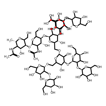 CC(=O)NC1[C@H](O[C@@H]2C(CO)O[C@@H](C)C(NC(C)=O)[C@H]2O)OC(CO)[C@@H](O[C@@H]2OC(CO[C@H]3OC(CO[C@H]4OC(CO)[C@@H](O)[C@H](O)C4O[C@H]4OC(CO)[C@@H](O)[C@H](O)C4O)[C@@H](O)[C@H](O[C@H]4OC(CO)[C@@H](O)C(O)C4O[C@H]4OC(CO)[C@@H](O)C(O)C4O)C3O)[C@@H](O)[C@H](O[C@H]3OC(CO)[C@@H](O)C(O)C3O[C@H]3OC(CO)[C@@H](O)C(O)C3O[C@H]3OC(CO)[C@@H](O)C(O)C3O)C2O)[C@@H]1O